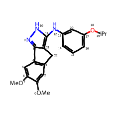 COc1cc2c(cc1OC)-c1n[nH]c(Nc3cccc(OC(C)C)c3)c1C2